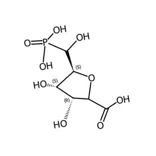 O=C(O)C1O[C@H](C(O)P(=O)(O)O)[C@@H](O)[C@H]1O